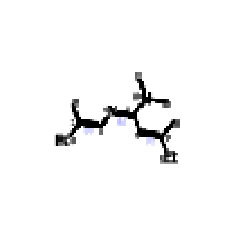 CC/C(C)=C/N=C(\C=C(/C)CC)N(C)C